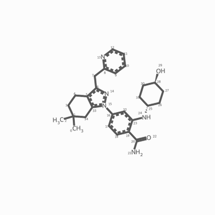 CC1(C)CCc2c(Cc3ccccn3)nn(-c3ccc(C(N)=O)c(N[C@H]4CC[C@H](O)CC4)c3)c2C1